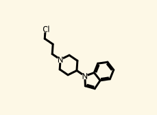 ClCCCN1CCC(n2ccc3ccccc32)CC1